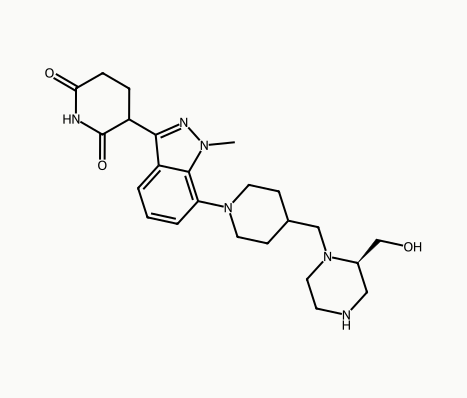 Cn1nc(C2CCC(=O)NC2=O)c2cccc(N3CCC(CN4CCNC[C@@H]4CO)CC3)c21